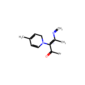 C=N/C(C)=C(/C(=O)C(C)C)N1C=CC(C)=CC1